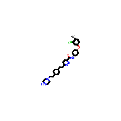 N#Cc1ccc(O[C@H]2CC[C@H](NC(=O)c3ccc(CCC4CCC(CCN5CCNCC5)CC4)nn3)CC2)cc1Cl